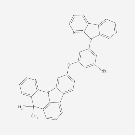 CC(C)(C)c1cc(Oc2ccc3c4cccc5c4n(c3c2)-c2ncccc2C5(C)C)cc(-n2c3ccccc3c3cccnc32)c1